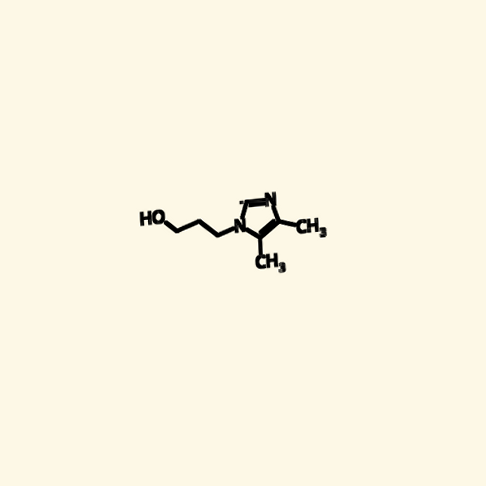 Cc1n[c]n(CCCO)c1C